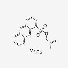 C=C(C)COS(=O)(=O)c1cccc2cc3ccccc3cc12.[MgH2]